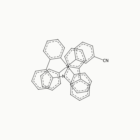 N#Cc1cccc([Si](c2ccccc2)(c2ccccc2)c2ccccc2-c2ccccc2-n2c3ccccc3c3ccccc32)c1